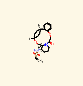 C=CS(=O)(=O)N[C@H]1CCCN2C(=O)COc3ccccc3[C@H]3CC[C@H](CC3)OC[C@@H]12